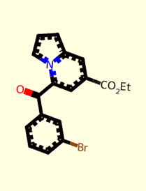 CCOC(=O)c1cc(C(=O)c2cccc(Br)c2)n2cccc2c1